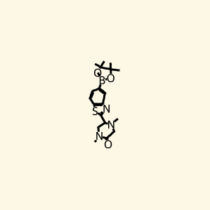 CN1CC(c2nc3cc(B4OC(C)(C)C(C)(C)O4)ccc3s2)N(C)CC1=O